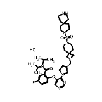 CC(C)N(C(=O)c1cc(F)ccc1Oc1cncnc1N1CC[C@@H](CN2CC3(CCN(S(=O)(=O)N4CCC5(CCNCC5)CC4)CC3)C2)C1)C(C)C.Cl